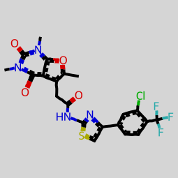 Cc1oc2c(c1CC(=O)Nc1nc(-c3ccc(C(F)(F)F)c(Cl)c3)cs1)c(=O)n(C)c(=O)n2C